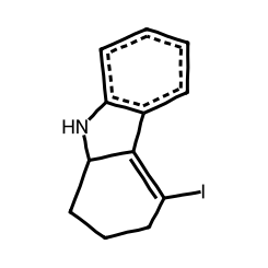 IC1=C2c3ccccc3NC2CCC1